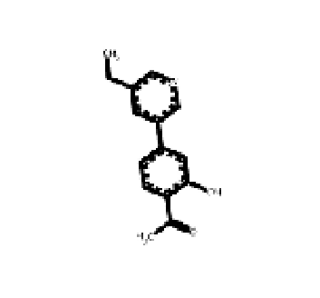 CCc1cncc(-c2ccc(C(C)=O)c(O)c2)c1